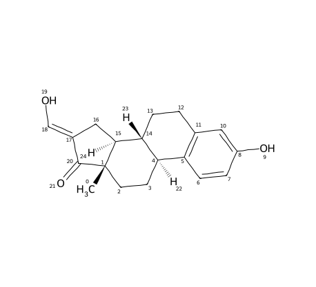 C[C@]12CC[C@@H]3c4ccc(O)cc4CC[C@H]3[C@@H]1CC(=CO)C2=O